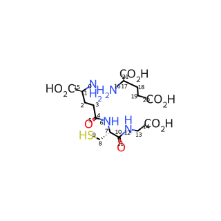 N[C@@H](CCC(=O)N[C@@H](CS)C(=O)NCC(=O)O)C(=O)O.N[C@@H](CCC(=O)O)C(=O)O